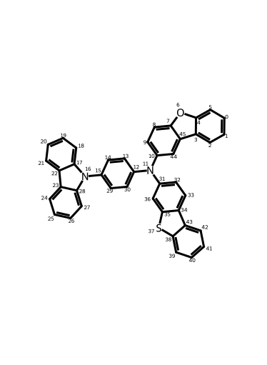 c1ccc2c(c1)oc1ccc(N(c3ccc(-n4c5ccccc5c5ccccc54)cc3)c3ccc4c(c3)sc3ccccc34)cc12